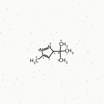 CC1=C[C](C(C)(C)C)N=N1